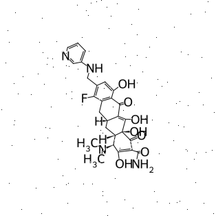 CN(C)[C@@H]1C(O)=C(C(N)=O)C(=O)[C@@]2(O)C(O)=C3C(=O)c4c(O)cc(CNc5cccnc5)c(F)c4C[C@H]3C[C@@H]12